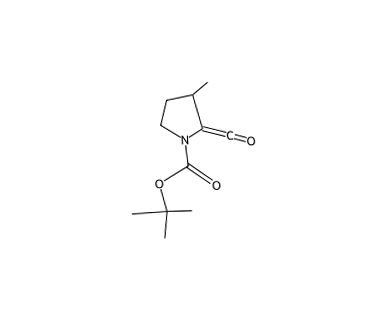 CC1CCN(C(=O)OC(C)(C)C)C1=C=O